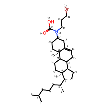 CC(C)CCC[C@@H](C)[C@H]1CCC2C3CC=C4CC(N(CCCBr)C(=O)O)CC[C@]4(C)C3CC[C@@]21C